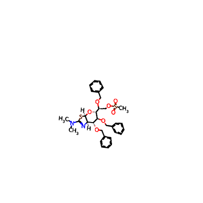 CN(C)C1=N[C@@H]2[C@@H](OCc3ccccc3)[C@H](OCc3ccccc3)[C@@H]([C@H](COS(C)(=O)=O)OCc3ccccc3)O[C@@H]2S1